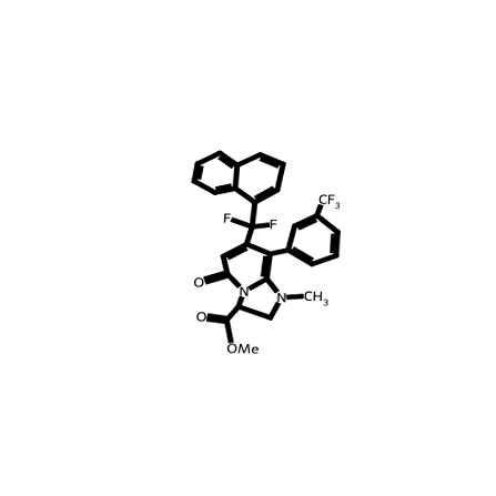 COC(=O)C1CN(C)c2c(-c3cccc(C(F)(F)F)c3)c(C(F)(F)c3cccc4ccccc34)cc(=O)n21